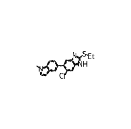 CCSc1nc2cc(-c3ccc4c(ccn4C)c3)c(Cl)cc2[nH]1